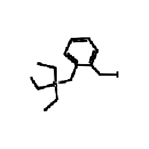 CC[N+](CC)(CC)Cc1ccccc1CI